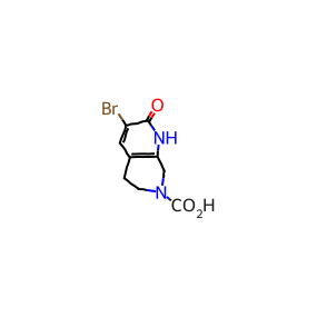 O=C(O)N1CCc2cc(Br)c(=O)[nH]c2C1